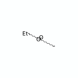 C=CCCCCCCCCC(=O)OCCCCCC=CCC